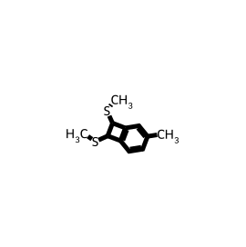 CSC1c2ccc(C)cc2C1SC